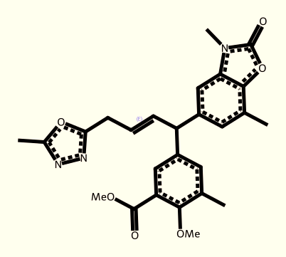 COC(=O)c1cc(C(/C=C/Cc2nnc(C)o2)c2cc(C)c3oc(=O)n(C)c3c2)cc(C)c1OC